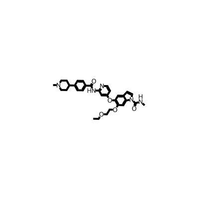 CCOCCOc1cc2c(ccn2C(=O)NC)cc1Oc1ccnc(NC(=O)c2ccc(C3CCN(C)CC3)cc2)c1